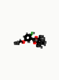 CC(C)(C)COc1ccc(F)c(B2OC(C)(C)C(C)(C)O2)c1